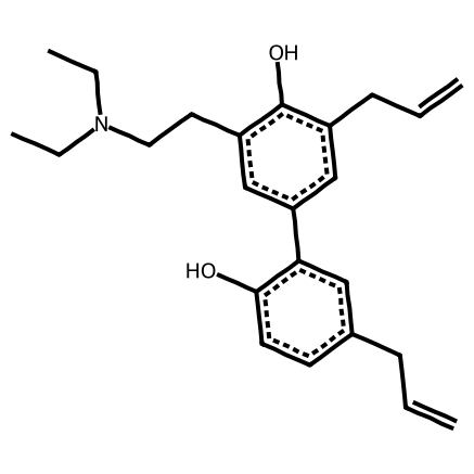 C=CCc1ccc(O)c(-c2cc(CC=C)c(O)c(CCN(CC)CC)c2)c1